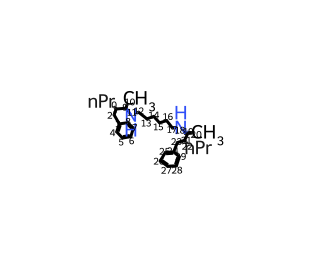 CCCC(Cc1ccccc1)C(C)NCCCCCCNC(C)C(CCC)Cc1ccccc1